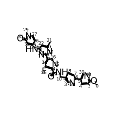 COc1ccc(-c2ccc(CNC(=O)c3ncc(-c4nc(C)cc(Nc5ccn(C)c(=O)c5)n4)cc3F)cn2)cn1